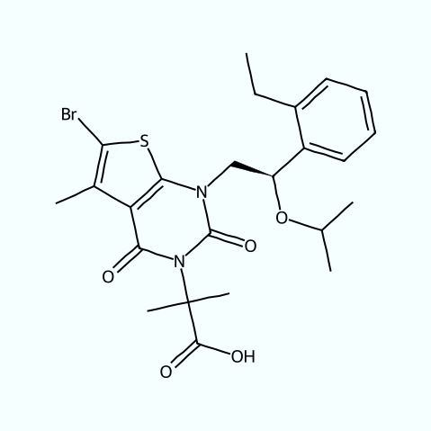 CCc1ccccc1[C@H](Cn1c(=O)n(C(C)(C)C(=O)O)c(=O)c2c(C)c(Br)sc21)OC(C)C